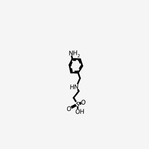 Nc1ccc(CNCCS(=O)(=O)O)cc1